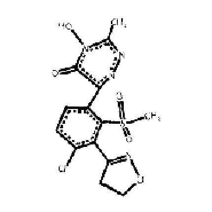 Cc1nnc(-c2ccc(Cl)c(C3=NOCC3)c2S(C)(=O)=O)c(=O)n1O